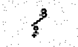 CN(CCCCCC[C@@H]1CCc2cccnc2N1)[C@@H]1CCN(C(=O)OC(C)(C)C)C1